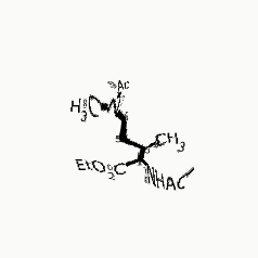 CCOC(=O)C(NC(C)=O)[C@H](C)CCN(C)C(C)=O